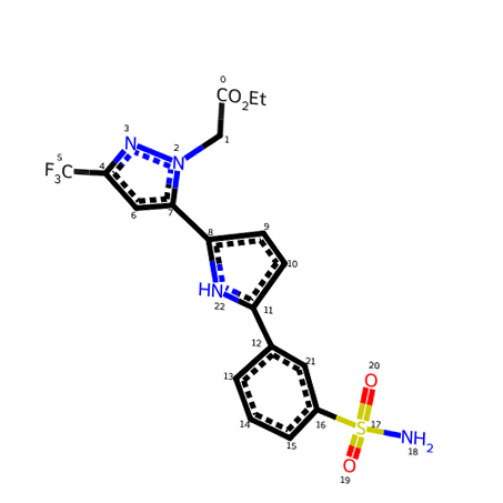 CCOC(=O)Cn1nc(C(F)(F)F)cc1-c1ccc(-c2cccc(S(N)(=O)=O)c2)[nH]1